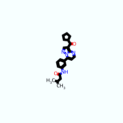 CC(C)CC(=O)Nc1cccc(-c2ccnc3c(C(=O)C4CCCC4)cnn23)c1